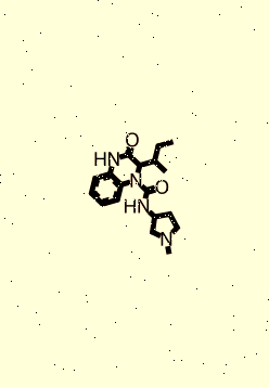 CCC(C)C1C(=O)Nc2ccccc2N1C(=O)NC1CCN(C)C1